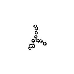 c1ccc(-c2ccc3cc(N(c4ccc(-c5ccc(-c6ccc7ccccc7c6)cc5)cc4)c4cccc(-c5cccc6c5ccc5ccccc56)c4)ccc3c2)cc1